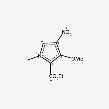 CCOC(=O)c1c(OC)c([N+](=O)[O-])cn1C